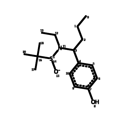 CCCC(c1ccc(O)cc1)N(CC)[S+]([O-])C(C)(C)C